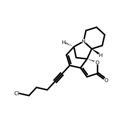 O=C1C=C2C(C#CCCCCl)=C[C@@H]3C[C@@]2(O1)[C@H]1CCCCN31